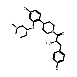 CC[C@@H](CN(C)C)Oc1cc(Cl)ccc1C1CCN(C(=O)[C@H](N)Cc2ccc(Cl)cc2)CC1